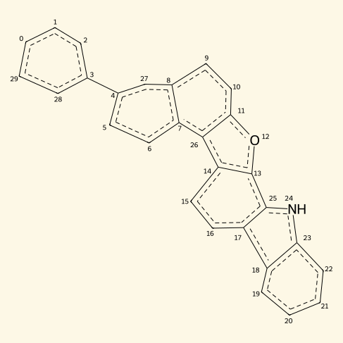 c1ccc(-c2ccc3c(ccc4oc5c(ccc6c7ccccc7[nH]c65)c43)c2)cc1